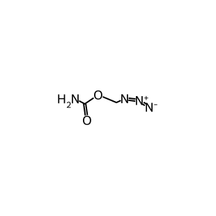 [N-]=[N+]=NCOC(N)=O